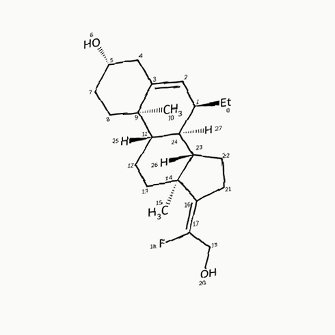 CC[C@@H]1C=C2C[C@@H](O)CC[C@]2(C)[C@H]2CC[C@]3(C)C(=C(F)CO)CC[C@H]3[C@H]12